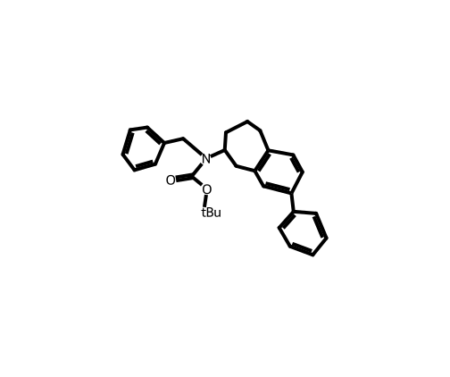 CC(C)(C)OC(=O)N(Cc1ccccc1)C1CCCc2ccc(-c3ccccc3)cc2C1